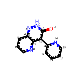 O=c1[nH]nc2cccnc2c1-c1ccccn1